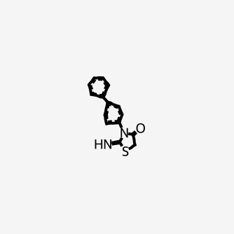 N=C1SCC(=O)N1c1ccc(-c2ccccc2)cc1